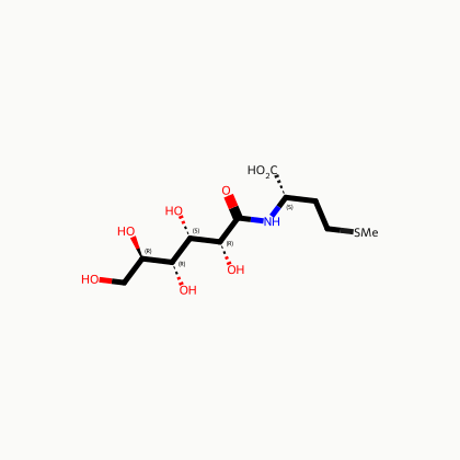 CSCC[C@H](NC(=O)[C@H](O)[C@@H](O)[C@H](O)[C@H](O)CO)C(=O)O